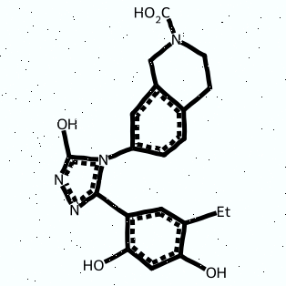 CCc1cc(-c2nnc(O)n2-c2ccc3c(c2)CN(C(=O)O)CC3)c(O)cc1O